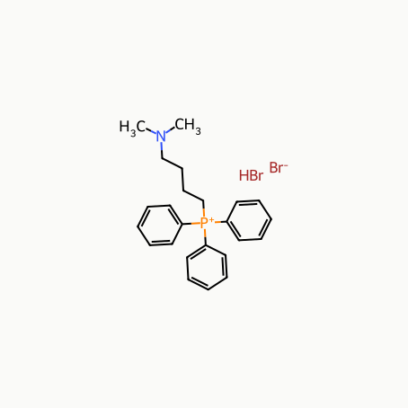 Br.CN(C)CCCC[P+](c1ccccc1)(c1ccccc1)c1ccccc1.[Br-]